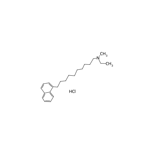 CCN(C)CCCCCCCCCCc1cccc2ccccc12.Cl